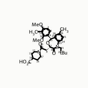 COc1ccc([C@@H]2O[C@@H](CC(=O)N3CCC(C(=O)O)CC3)C(=O)N(CC(C)(C)C)c3ccc(C)cc32)c(OC)c1C